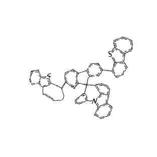 C1=Cc2c(sc3ccccc23)C(c2ccc3c(c2)C2(c4cc(-c5cccc6c5sc5ccccc56)ccc4-3)c3ccccc3-n3c4ccccc4c4cccc2c43)C1